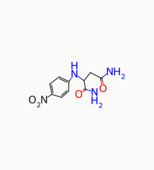 NC(=O)CC(Nc1ccc([N+](=O)[O-])cc1)C(N)=O